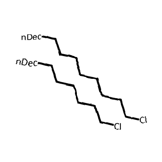 CCCCCCCCCCCCCCCCCCCl.CCCCCCCCCCCCCCCCCl